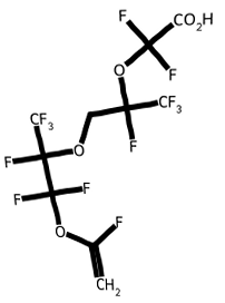 C=C(F)OC(F)(F)C(F)(OCC(F)(OC(F)(F)C(=O)O)C(F)(F)F)C(F)(F)F